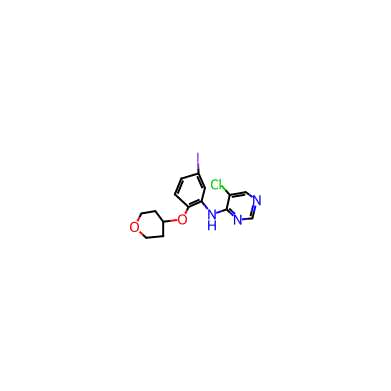 Clc1cncnc1Nc1cc(I)ccc1OC1CCOCC1